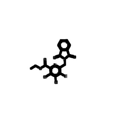 CCOC(=O)c1nc(CN2C(=O)c3ccccc3C2=O)c(Cl)c(Cl)c1Cl